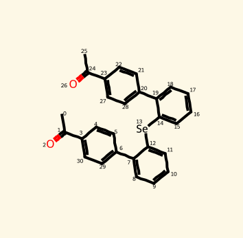 CC(=O)c1ccc(-c2ccccc2[Se]c2ccccc2-c2ccc(C(C)=O)cc2)cc1